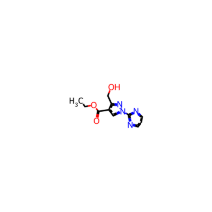 CCOC(=O)c1cn(-c2ncccn2)nc1CO